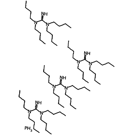 CCCCN(CCCC)C(=N)N(CCCC)CCCC.CCCCN(CCCC)C(=N)N(CCCC)CCCC.CCCCN(CCCC)C(=N)N(CCCC)CCCC.CCCCN(CCCC)C(=N)N(CCCC)CCCC.P